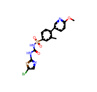 COc1ccc(-c2ccc(S(=O)(=O)NC(=O)Nc3ncc(Br)s3)cc2C)cn1